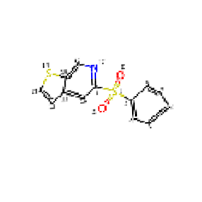 O=S(=O)(c1ccccc1)c1cc2ccsc2cn1